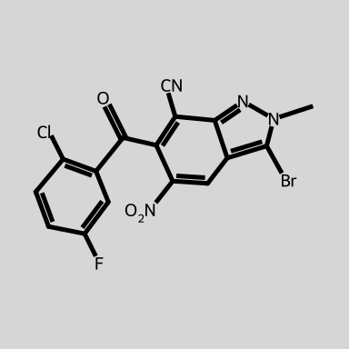 Cn1nc2c(C#N)c(C(=O)c3cc(F)ccc3Cl)c([N+](=O)[O-])cc2c1Br